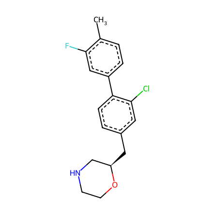 Cc1ccc(-c2ccc(C[C@@H]3CNCCO3)cc2Cl)cc1F